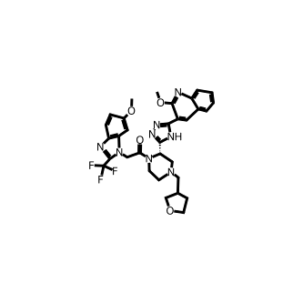 COc1ccc2nc(C(F)(F)F)n(CC(=O)N3CCN(CC4CCOC4)C[C@H]3c3nnc(-c4cc5ccccc5nc4OC)[nH]3)c2c1